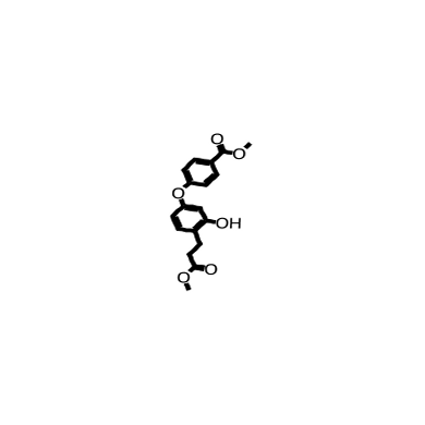 COC(=O)CCc1ccc(Oc2ccc(C(=O)OC)cc2)cc1O